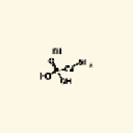 O=[P](O)(O)[Ca][SiH3].[KH]